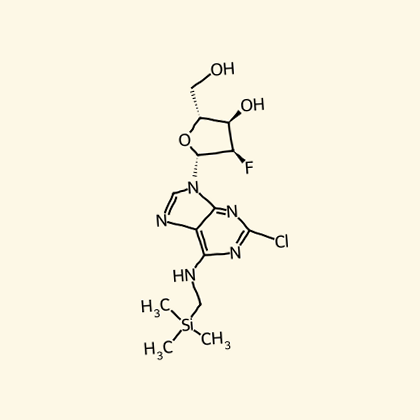 C[Si](C)(C)CNc1nc(Cl)nc2c1ncn2[C@@H]1O[C@H](CO)[C@@H](O)[C@H]1F